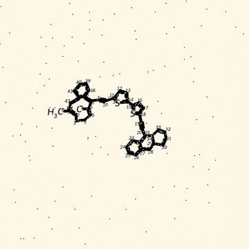 CC1=C/CC/C=C(C)/C(C#Cc2ccc(-c3ccc(C#CC4=c5ccccc5=CC5C=CC=CC45)s3)s2)=c2/cccc/c2=C/1